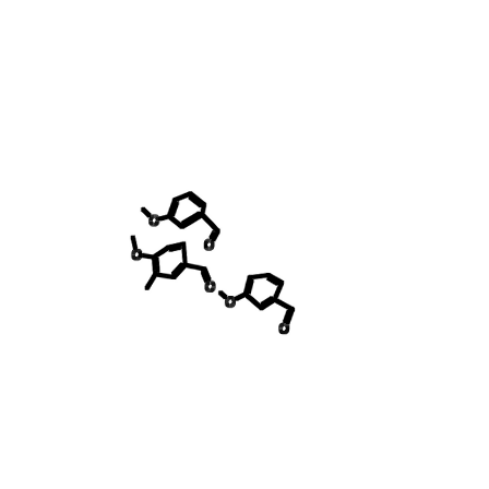 COc1ccc(C=O)cc1C.COc1cccc(C=O)c1.COc1cccc(C=O)c1